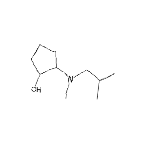 CC(C)CN(C)C1CCCC1O